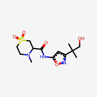 CN1CCS(=O)(=O)CC1C(=O)Nc1cc(C(C)(C)CO)no1